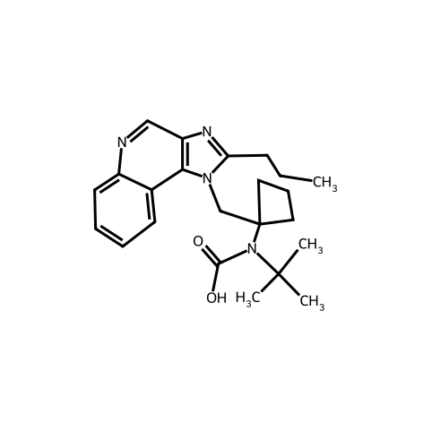 CCCc1nc2cnc3ccccc3c2n1CC1(N(C(=O)O)C(C)(C)C)CCC1